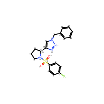 O=S(=O)(c1ccc(F)cc1)N1CCC[C@H]1c1cn(Cc2ccccc2)nn1